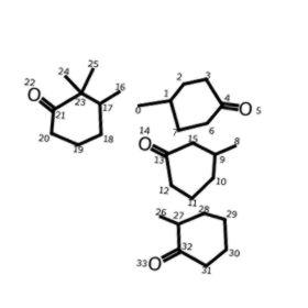 CC1CCC(=O)CC1.CC1CCCC(=O)C1.CC1CCCC(=O)C1(C)C.CC1CCCCC1=O